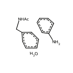 CC(=O)NCc1ccccc1.Nc1ccccc1.O